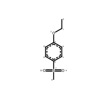 CCOc1ccc(S(C)(=O)=O)cc1